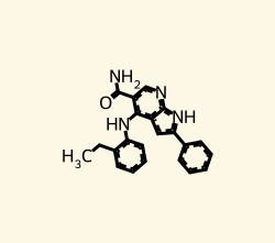 CCc1ccccc1Nc1c(C(N)=O)cnc2[nH]c(-c3ccccc3)cc12